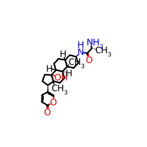 C[C@@H](N)C(=O)N[C@H]1CC[C@@]2(C)[C@H](CC[C@@H]3[C@@H]2CC[C@]2(C)[C@@H](c4ccc(=O)oc4)CC[C@]32O)C1